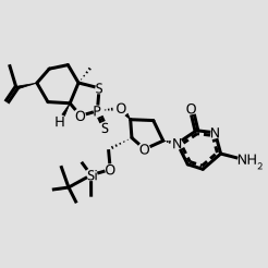 C=C(C)[C@H]1CC[C@@]2(C)S[P@](=S)(O[C@H]3C[C@H](n4ccc(N)nc4=O)O[C@@H]3CO[Si](C)(C)C(C)(C)C)O[C@@H]2C1